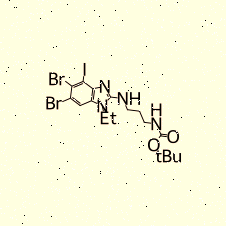 CCn1c(NCCCNC(=O)OC(C)(C)C)nc2c(I)c(Br)c(Br)cc21